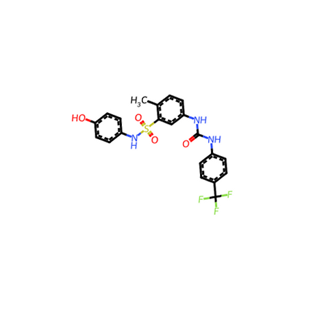 Cc1ccc(NC(=O)Nc2ccc(C(F)(F)F)cc2)cc1S(=O)(=O)Nc1ccc(O)cc1